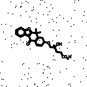 CC1(C)C2=C(C=CC(OC[C@H](O)CCC(=O)O)C2)C(=O)c2c1oc1cc#ccc21